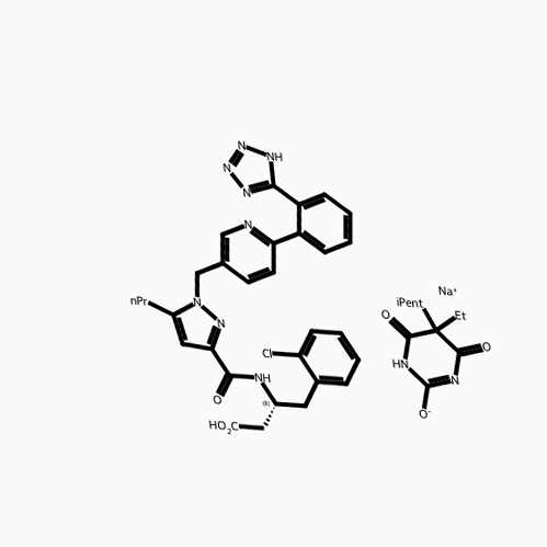 CCCC(C)C1(CC)C(=O)N=C([O-])NC1=O.CCCc1cc(C(=O)N[C@@H](CC(=O)O)Cc2ccccc2Cl)nn1Cc1ccc(-c2ccccc2-c2nnn[nH]2)nc1.[Na+]